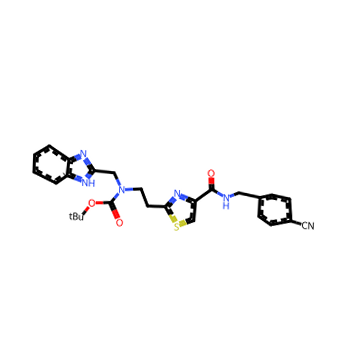 CC(C)(C)OC(=O)N(CCc1nc(C(=O)NCc2ccc(C#N)cc2)cs1)Cc1nc2ccccc2[nH]1